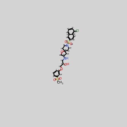 CS(=O)(=O)c1cccc(OC[C@@H](O)CNC2COC3(CCN(S(=O)(=O)c4ccc5c(Cl)cccc5c4)CC3)C2)c1